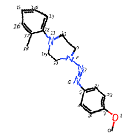 COc1ccc(N=NN2CCN(c3ccccc3C)CC2)cc1